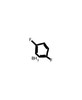 B.Fc1ccc(F)cc1